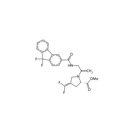 C=C(CNC(=O)c1ccc2c(c1)-c1ccccc1C2(F)F)N1CC(=C(F)F)C[C@H]1C(=O)OC